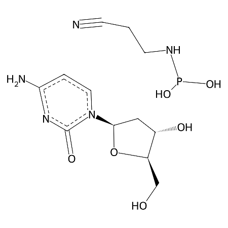 N#CCCNP(O)O.Nc1ccn([C@H]2C[C@H](O)[C@@H](CO)O2)c(=O)n1